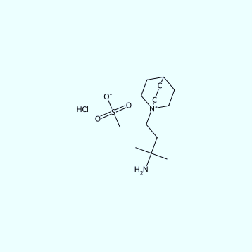 CC(C)(N)CC[N+]12CCC(CC1)CC2.CS(=O)(=O)[O-].Cl